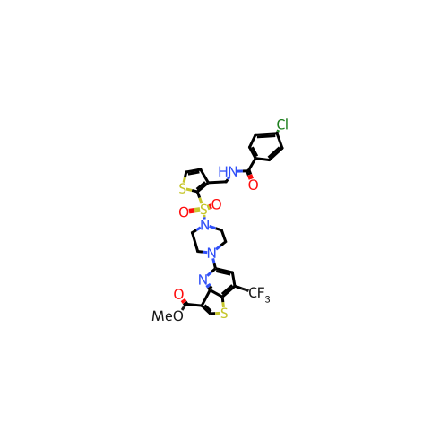 COC(=O)c1csc2c(C(F)(F)F)cc(N3CCN(S(=O)(=O)c4sccc4CNC(=O)c4ccc(Cl)cc4)CC3)nc12